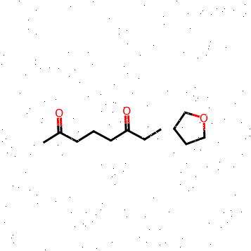 C1CCOC1.CCC(=O)CCCC(C)=O